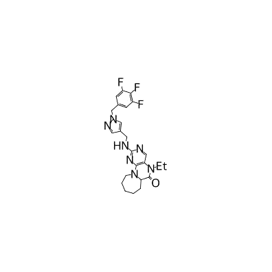 CCN1C(=O)C2CCCCCN2c2nc(NCc3cnn(Cc4cc(F)c(F)c(F)c4)c3)ncc21